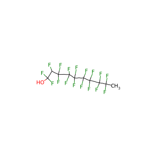 CC(F)(F)C(F)(F)C(F)(F)C(F)(F)C(F)(F)C(F)(F)C(F)(F)C(F)C(O)(F)F